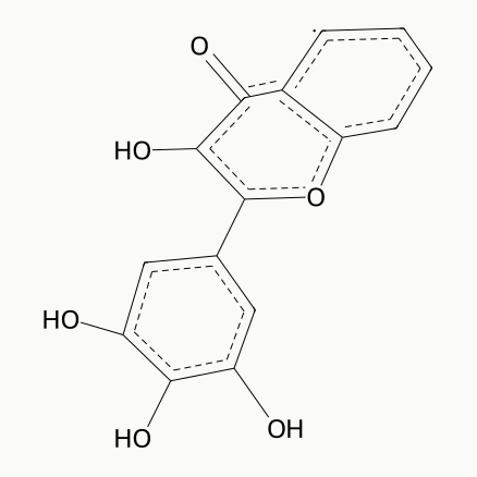 O=c1c(O)c(-c2cc(O)c(O)c(O)c2)oc2ccc[c]c12